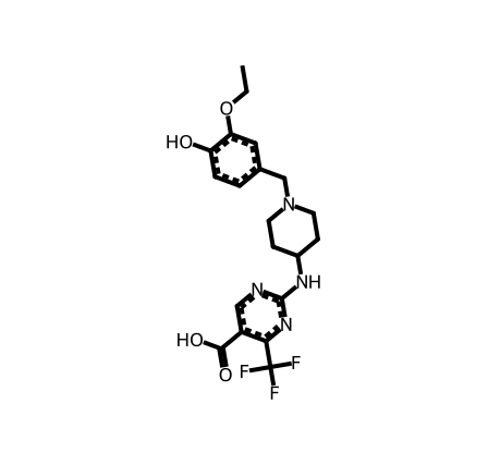 CCOc1cc(CN2CCC(Nc3ncc(C(=O)O)c(C(F)(F)F)n3)CC2)ccc1O